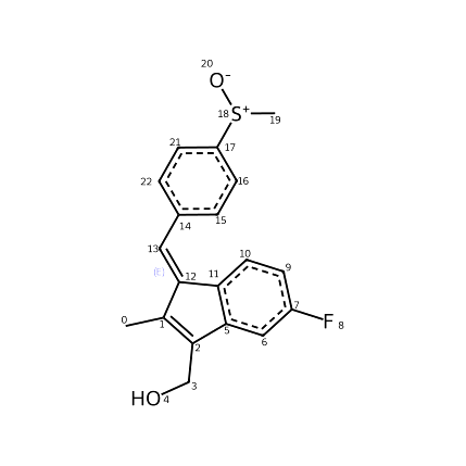 CC1=C(CO)c2cc(F)ccc2/C1=C\c1ccc([S+](C)[O-])cc1